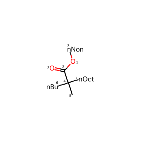 CCCCCCCCCOC(=O)C(C)(CCCC)CCCCCCCC